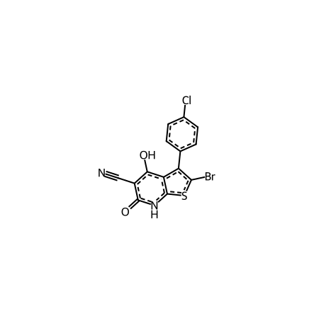 N#Cc1c(O)c2c(-c3ccc(Cl)cc3)c(Br)sc2[nH]c1=O